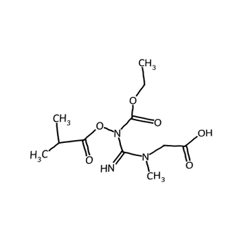 CCOC(=O)N(OC(=O)C(C)C)C(=N)N(C)CC(=O)O